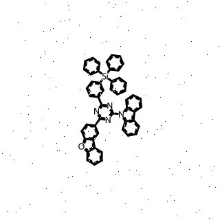 c1ccc([Si](c2ccccc2)(c2ccccc2)c2cccc(-c3nc(-c4ccc5oc6ccccc6c5c4)nc(-n4c5ccccc5c5ccccc54)n3)c2)cc1